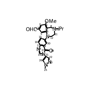 COc1cc(C=O)cc2c1CN(C(C)C)CCN2c1ccc2ncn(-c3cnn(C)c3)c(=O)c2c1